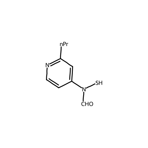 CCCc1cc(N(S)C=O)ccn1